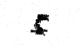 COC(=O)C1=CC(NC(=N)N)C(NC(C)=O)C(C(OC(=O)NCCC(=O)NCc2cccc(CNC(=O)CCNC(=O)O[C@@H]([C@@H]3OC(C(=O)OC)=CC(NC(=N)N)[C@H]3NC(C)=O)[C@H]3COC(=O)O3)c2)C2COC(=O)O2)O1